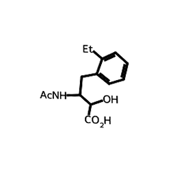 CCc1ccccc1CC(NC(C)=O)C(O)C(=O)O